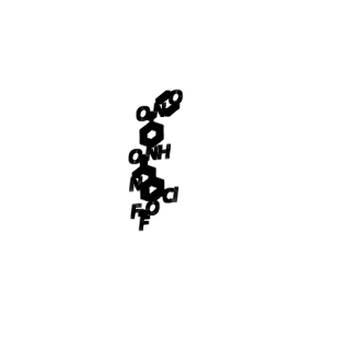 O=C(N[C@H]1CC[C@H](C(=O)N2CCOCC2)CC1)c1cnc2cc(OC(F)F)c(Cl)cc2c1